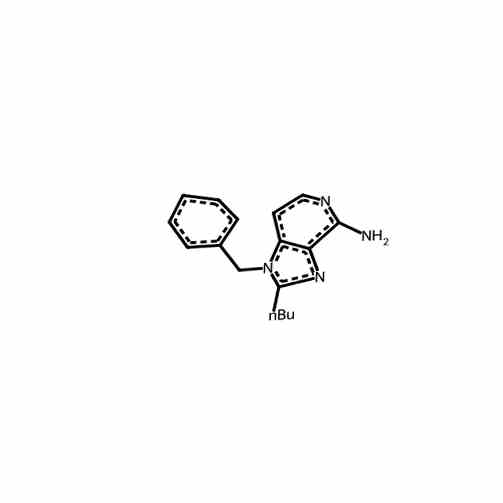 CCCCc1nc2c(N)nccc2n1Cc1ccccc1